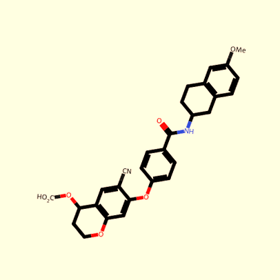 COc1ccc2c(c1)CCC(NC(=O)c1ccc(Oc3cc4c(cc3C#N)C(OC(=O)O)CCO4)cc1)C2